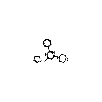 C1=C[SH](Cc2cc(N3CCOCC3)nc(-c3ccccc3)n2)C=C1